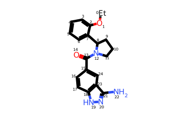 CCOc1ccccc1C1CCCN1C(=O)c1ccc2[nH]nc(N)c2c1